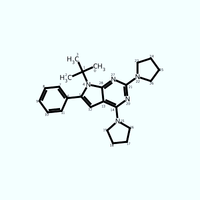 CC(C)(C)n1c(-c2ccccc2)cc2c(N3CCCC3)nc(N3CCCC3)nc21